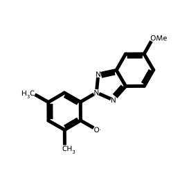 COc1ccc2nn(-c3cc(C)cc(C)c3[O])nc2c1